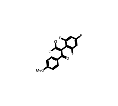 COc1ccc(C(=O)C(=C(Cl)Cl)c2c(F)cc(F)cc2F)cc1